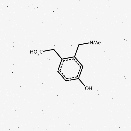 CNCc1cc(O)ccc1CC(=O)O